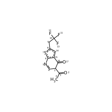 CC(=O)C1C=Nc2sc(CC(F)(F)F)cc2C1=O